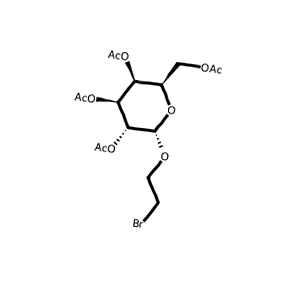 CC(=O)OC[C@H]1O[C@H](OCCBr)[C@H](OC(C)=O)[C@@H](OC(C)=O)[C@H]1OC(C)=O